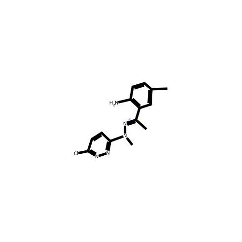 C/C(=N\N(C)c1ccc(Cl)nn1)c1cc(C)ccc1N